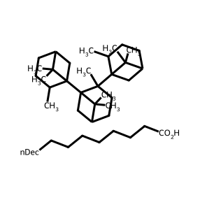 CC1CCC2CC1(C1(C)CCC3CC1(C14CC(CCC1C)C4(C)C)C3(C)C)C2(C)C.CCCCCCCCCCCCCCCCCC(=O)O